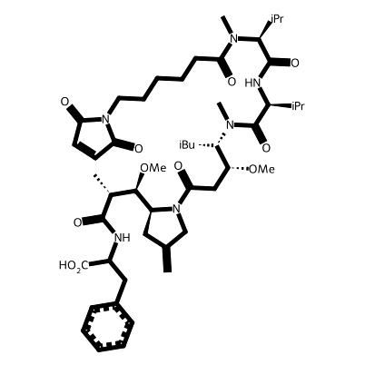 C=C1C[C@@H]([C@H](OC)[C@@H](C)C(=O)NC(Cc2ccccc2)C(=O)O)N(C(=O)C[C@@H](OC)[C@H]([C@@H](C)CC)N(C)C(=O)[C@@H](NC(=O)[C@H](C(C)C)N(C)C(=O)CCCCCN2C(=O)C=CC2=O)C(C)C)C1